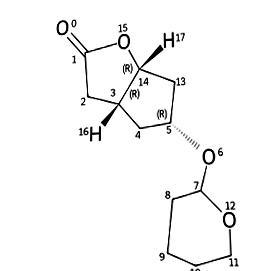 O=C1C[C@H]2C[C@@H](OC3CCCCO3)C[C@H]2O1